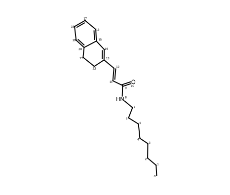 CCCCCCCCNC(=O)C=CC1=Cc2ccccc2CC1